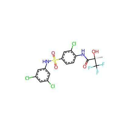 C[C@@](O)(C(=O)Nc1ccc(S(=O)(=O)Nc2cc(Cl)cc(Cl)c2)cc1Cl)C(F)(F)F